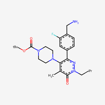 Cc1c(N2CCN(C(=O)OC(C)(C)C)CC2)c(-c2ccc(CN)c(F)c2)nn(CC(C)C)c1=O